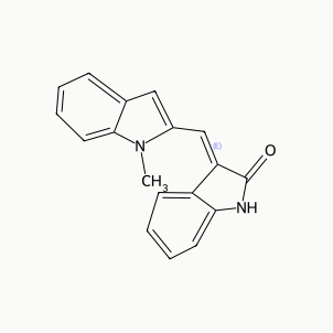 Cn1c(/C=C2/C(=O)Nc3ccccc32)cc2ccccc21